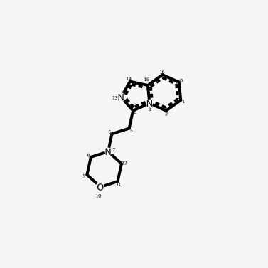 c1ccn2c(CCN3CCOCC3)ncc2c1